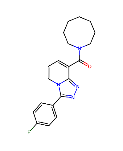 O=C(c1cccn2c(-c3ccc(F)cc3)nnc12)N1CCCCCCC1